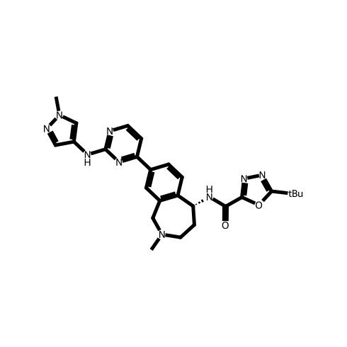 CN1CC[C@@H](NC(=O)c2nnc(C(C)(C)C)o2)c2ccc(-c3ccnc(Nc4cnn(C)c4)n3)cc2C1